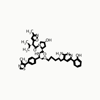 Cc1cc([C@H](C(=O)N2C[C@H](O)C[C@H]2C(=O)N[C@H](COCCCCCc2cc(-c3ccccc3O)nnc2N)c2ccc(-c3scnc3C)cc2)C(C)C)on1